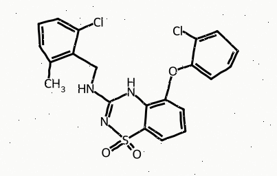 Cc1cccc(Cl)c1CNC1=NS(=O)(=O)c2cccc(Oc3ccccc3Cl)c2N1